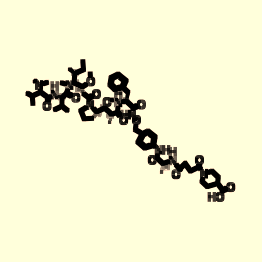 CC[C@H](C)[C@@H]([C@@H](CC(=O)N1CCC[C@H]1[C@H](OC)[C@@H](C)C(=O)N[C@@H](Cc1ccccc1)C(=O)NOCc1ccc(NC(=O)[C@@H](C)NC(=O)CCC(=O)N2CCC(C(=O)O)CC2)cc1)OC)N(C)C(=O)[C@@H](NC(=O)C(C(C)C)N(C)C)C(C)C